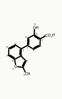 N#Cc1cc2c(-c3ccc(C(=O)O)c(O)c3)cccc2o1